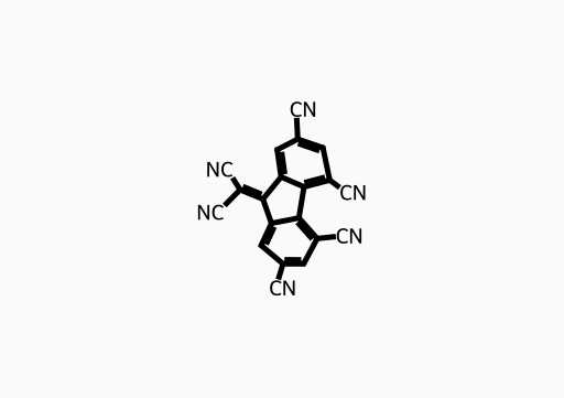 N#CC(C#N)=C1c2cc(C#N)cc(C#N)c2-c2c(C#N)cc(C#N)cc21